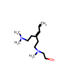 C=C/C=C(\CCN(C)C)CCN(C)CCO